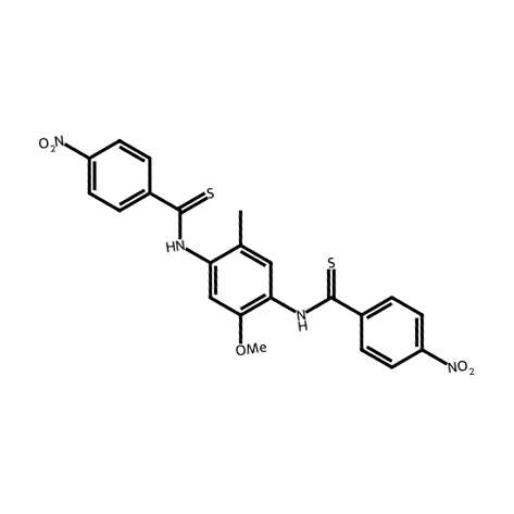 COc1cc(NC(=S)c2ccc([N+](=O)[O-])cc2)c(C)cc1NC(=S)c1ccc([N+](=O)[O-])cc1